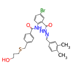 Cc1ccc(C=NNC(=O)c2cc(Br)ccc2NC(=O)c2ccc(CSCCCO)cc2)cc1C